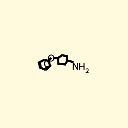 NCC1CCC(OC2CC3C=CC2O3)CC1